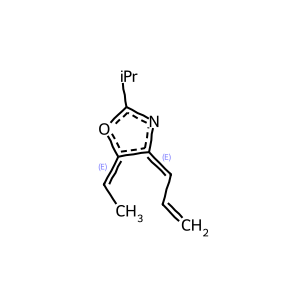 C=C/C=c1/nc(C(C)C)o/c1=C/C